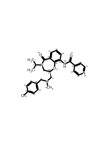 CC(C)N1C[C@H](CN(C)Cc2ccc(Cl)cc2)Oc2c(NC(=O)c3ccncc3)cccc2C1=O